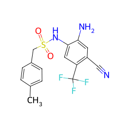 Cc1ccc(CS(=O)(=O)Nc2cc(C(F)(F)F)c(C#N)cc2N)cc1